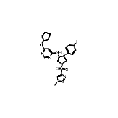 Cn1cnc(S(=O)(=O)N2C[C@H](Nc3cc(OC4CCCC4)ncn3)[C@@H](c3ccc(F)cc3)C2)c1